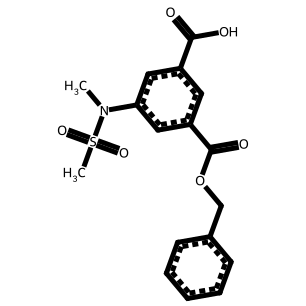 CN(c1cc(C(=O)O)cc(C(=O)OCc2ccccc2)c1)S(C)(=O)=O